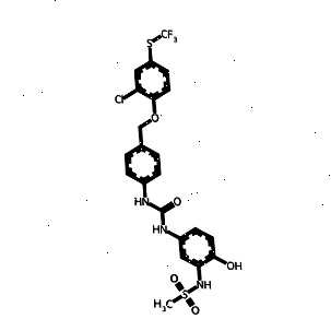 CS(=O)(=O)Nc1cc(NC(=O)Nc2ccc(COc3ccc(SC(F)(F)F)cc3Cl)cc2)ccc1O